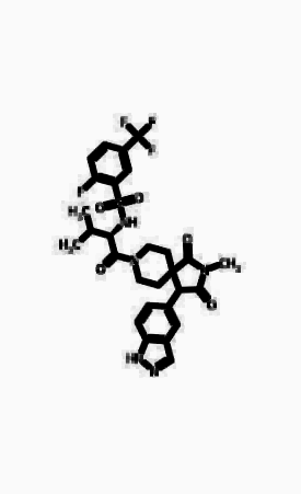 CC(C)[C@@H](NS(=O)(=O)c1cc(C(F)(F)F)ccc1F)C(=O)N1CCC2(CC1)C(=O)N(C)C(=O)C2c1ccc2[nH]ncc2c1